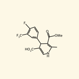 COC(=O)C1=C(C)NC=C(C(=O)O)C1c1ccc(F)c(C(F)(F)F)c1